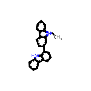 CCn1c2ccccc2c2ccc(-c3cccc4c3[nH]c3ccccc34)cc21